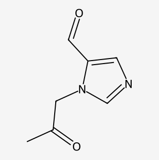 CC(=O)Cn1cncc1C=O